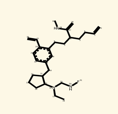 C=CCCC(CCc1cc(CC2CCCC2N(CC)CNF)ccc1C=C)C(=C)NC